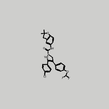 CC1(C)Cc2cc(NC(=O)N3CC(c4ccc(OC(F)F)cc4)=C(c4ccc(Cl)cc4)N3)ccc2O1